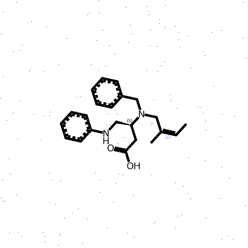 C/C=C(/C)CN(Cc1ccccc1)[C@H](CNc1ccccc1)CC(=O)O